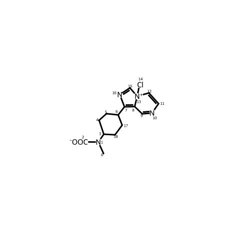 CN(C(=O)[O-])C1CCC(C2=C3C=NC=C[N+]3(Cl)C=N2)CC1